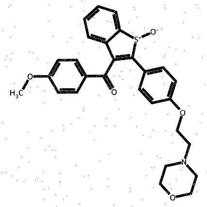 COc1ccc(C(=O)c2c(-c3ccc(OCCN4CCOCC4)cc3)[s+]([O-])c3ccccc23)cc1